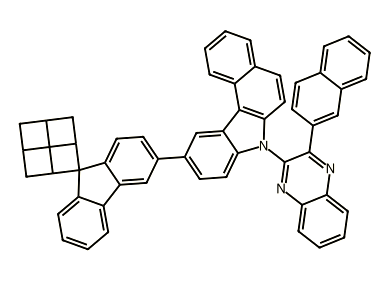 c1ccc2c(c1)-c1cc(-c3ccc4c(c3)c3c5ccccc5ccc3n4-c3nc4ccccc4nc3-c3ccc4ccccc4c3)ccc1C21C2CC3CC4CC1C342